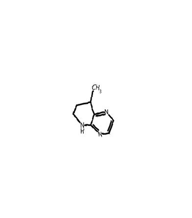 CC1CCNc2nccnc21